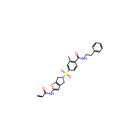 C=CC(=O)Nc1cc2c(o1)CN(S(=O)(=O)c1ccc(C(=O)NCCc3ccccc3)c(C)c1)C2